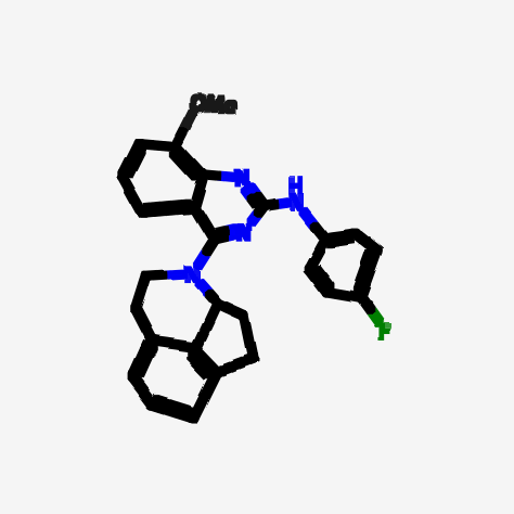 COc1cccc2c(N3CCc4cccc5c4C3CC5)nc(Nc3ccc(F)cc3)nc12